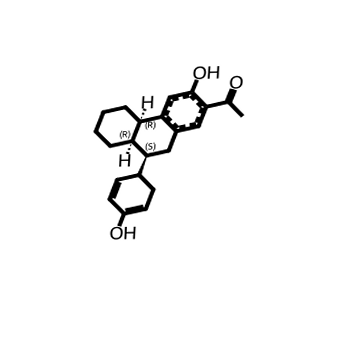 CC(=O)c1cc2c(cc1O)[C@@H]1CCCC[C@@H]1[C@H](C1C=CC(O)=CC1)C2